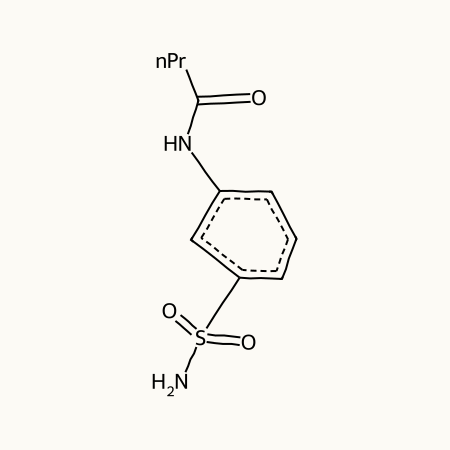 CCCC(=O)Nc1cccc(S(N)(=O)=O)c1